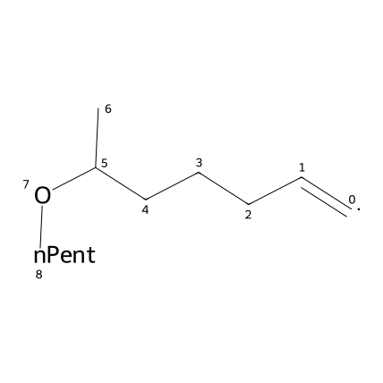 [CH]=CCCCC(C)OCCCCC